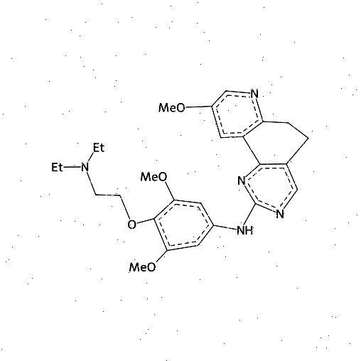 CCN(CC)CCOc1c(OC)cc(Nc2ncc3c(n2)-c2cc(OC)cnc2CC3)cc1OC